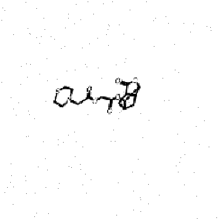 O=C(CN1CCSCC1)OCC(=O)OC1C2CC3C(=O)OC1C3C2